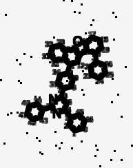 c1ccc(-c2cc(-c3ccc(-c4cc5c(oc6cccc(-c7ccccc7)c65)c5ccccc45)cc3)nc(-c3ccccc3)n2)cc1